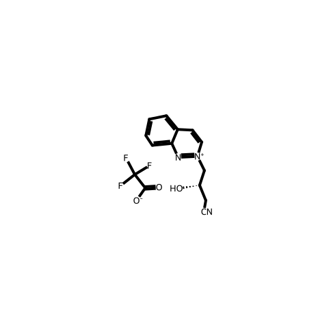 N#CC[C@H](O)C[n+]1ccc2ccccc2n1.O=C([O-])C(F)(F)F